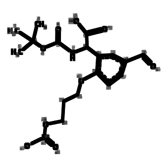 CC(C)(C)OC(=O)NC(C(=O)O)c1cc(C=O)ccc1OCCCO[N+](=O)[O-]